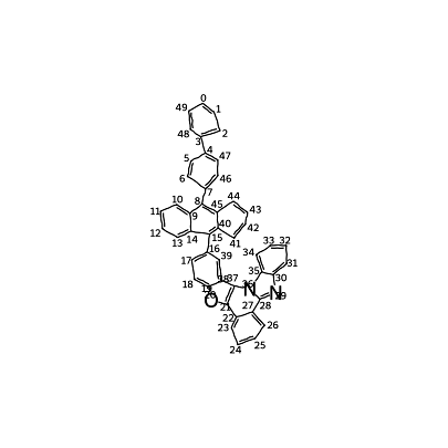 c1ccc(-c2ccc(-c3c4ccccc4c(-c4ccc5oc6c7ccccc7c7nc8ccccc8n7c6c5c4)c4ccccc34)cc2)cc1